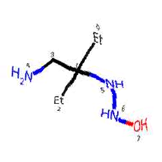 CCC(CC)(CN)NNO